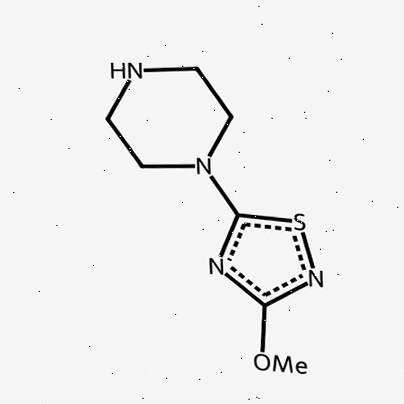 COc1nsc(N2CCNCC2)n1